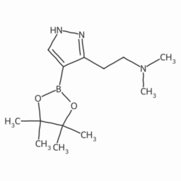 CN(C)CCc1n[nH]cc1B1OC(C)(C)C(C)(C)O1